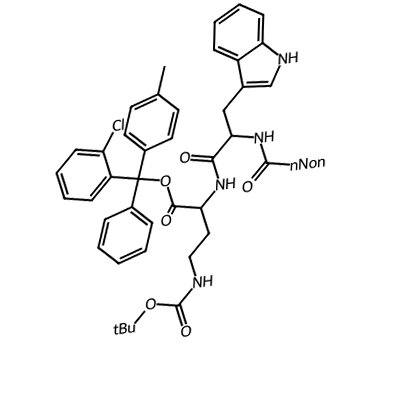 CCCCCCCCCC(=O)NC(Cc1c[nH]c2ccccc12)C(=O)NC(CCNC(=O)OC(C)(C)C)C(=O)OC(c1ccccc1)(c1ccc(C)cc1)c1ccccc1Cl